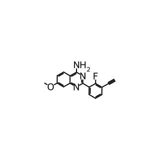 C#Cc1cccc(-c2nc(N)c3ccc(OC)cc3n2)c1F